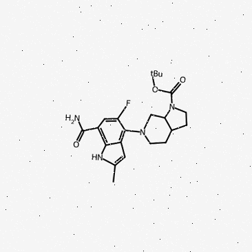 Cc1cc2c(N3CCC4CCN(C(=O)OC(C)(C)C)C4C3)c(F)cc(C(N)=O)c2[nH]1